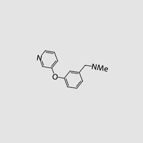 CNCc1cccc(Oc2cccnc2)c1